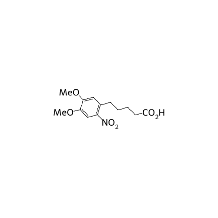 COc1cc(CCCCC(=O)O)c([N+](=O)[O-])cc1OC